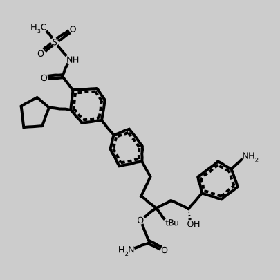 CC(C)(C)C(CCc1ccc(-c2ccc(C(=O)NS(C)(=O)=O)c(C3CCCC3)c2)cc1)(C[C@@H](O)c1ccc(N)cc1)OC(N)=O